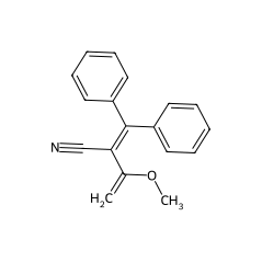 C=C(OC)C(C#N)=C(c1ccccc1)c1ccccc1